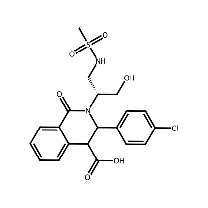 CS(=O)(=O)NC[C@H](CO)N1C(=O)c2ccccc2C(C(=O)O)C1c1ccc(Cl)cc1